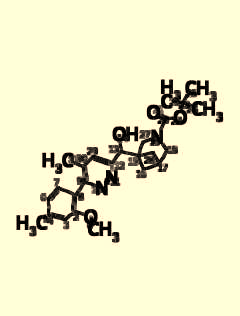 COc1cc(C)ccc1-c1nnc(C(O)C23CC(CN(C(=O)OC(C)(C)C)C2)C3)cc1C